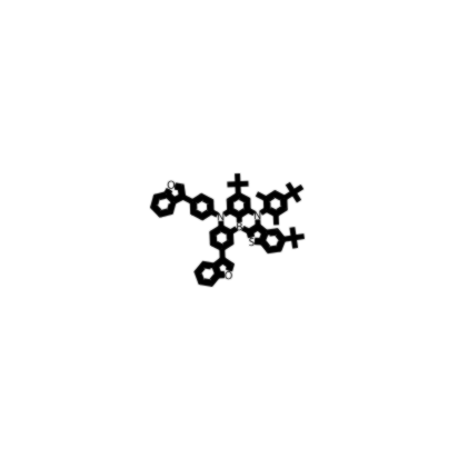 Cc1cc(C(C)(C)C)cc(C)c1N1c2cc(C(C)(C)C)cc3c2B(c2cc(-c4coc5ccccc45)ccc2N3c2ccc(-c3coc4ccccc34)cc2)c2sc3ccc(C(C)(C)C)cc3c21